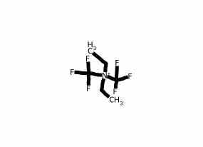 CC[N+](CC)(C(F)(F)F)C(F)(F)F